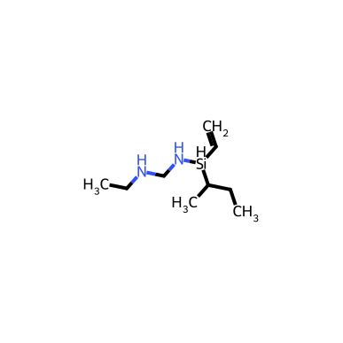 C=C[SiH](NCNCC)C(C)CC